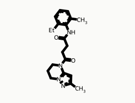 CCc1cccc(C)c1NC(=O)CCC(=O)N1CCCn2nc(C)cc21